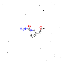 C=C(C=NC(N)=O)CC1CO1